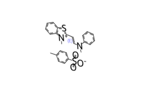 CN(/C=C/c1sc2ccccc2[n+]1C)c1ccccc1.Cc1ccc(S(=O)(=O)[O-])cc1